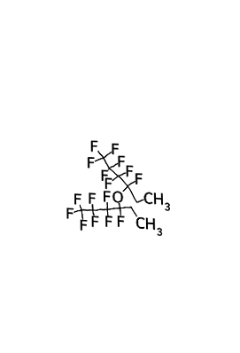 CCC(F)(OC(F)(CC)C(F)(F)C(F)(F)C(F)(F)F)C(F)(F)C(F)(F)C(F)(F)F